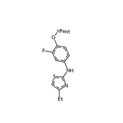 CCCCCOc1ccc(Nc2nc(CC)cs2)cc1F